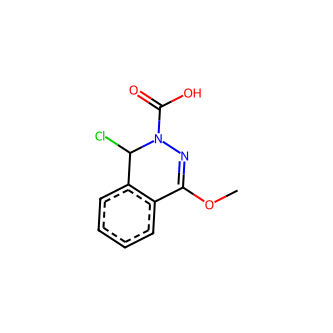 COC1=NN(C(=O)O)C(Cl)c2ccccc21